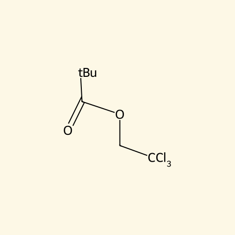 CC(C)(C)C(=O)OCC(Cl)(Cl)Cl